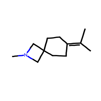 CC(C)=C1CCC2(CC1)CN(C)C2